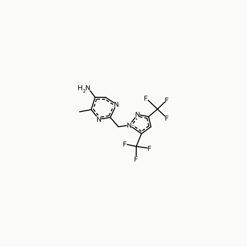 Cc1nc(Cn2nc(C(F)(F)F)cc2C(F)(F)F)ncc1N